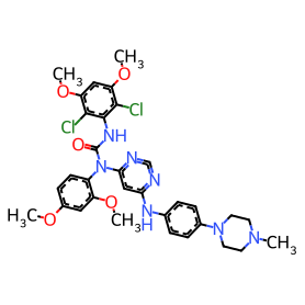 COc1ccc(N(C(=O)Nc2c(Cl)c(OC)cc(OC)c2Cl)c2cc(Nc3ccc(N4CCN(C)CC4)cc3)ncn2)c(OC)c1